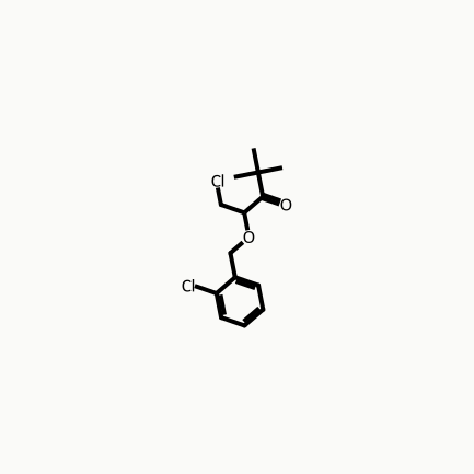 CC(C)(C)C(=O)C(CCl)OCc1ccccc1Cl